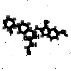 COc1ccc2c(c1)C(=O)N(C[C@H](NC(=O)NC=O)c1ccc(-c3ccncc3F)cc1)C2